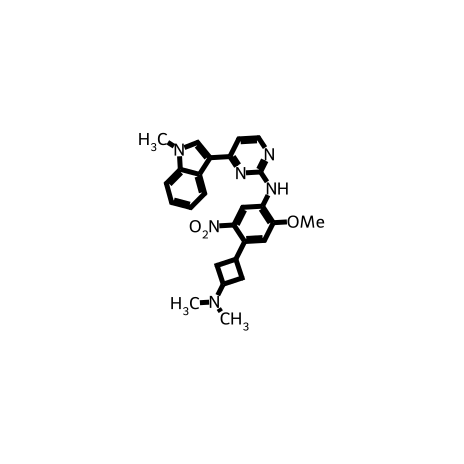 COc1cc(C2CC(N(C)C)C2)c([N+](=O)[O-])cc1Nc1nccc(-c2cn(C)c3ccccc23)n1